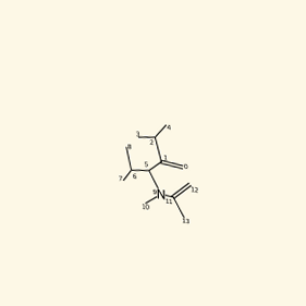 C=C(C(C)C)C(C(C)C)N(C)C(=C)C